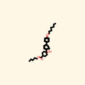 CCCCCCCOc1ccc(-c2ccc(C3(O)CCC(C(=O)OCCCCC)CC3)cc2)cc1